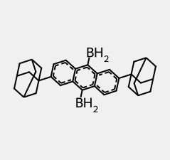 Bc1c2ccc(C34CC5CC(CC(C5)C3)C4)cc2c(B)c2ccc(C34CC5CC(CC(C5)C3)C4)cc12